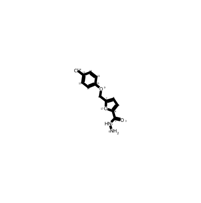 NNC(=O)c1ccc(COc2ccc(Cl)cc2)o1